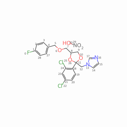 Fc1ccc(COCC2COC(Cn3ccnc3)(c3ccc(Cl)cc3Cl)O2)cc1.O=[N+]([O-])O